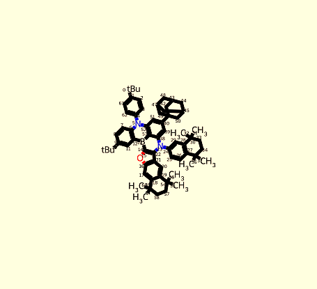 CC(C)(C)c1ccc(N2c3ccc(C(C)(C)C)cc3B3c4oc5cc6c(cc5c4N(c4ccc5c(c4)C(C)(C)CCC5(C)C)c4cc(C57CC8CC(CC(C8)C5)C7)cc2c43)C(C)(C)CCC6(C)C)cc1